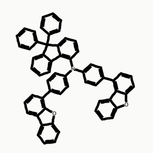 c1ccc(C2(c3ccccc3)c3ccccc3-c3c(N(c4ccc(-c5cccc6c5oc5ccccc56)cc4)c4ccc(-c5cccc6oc7ccccc7c56)cc4)cccc32)cc1